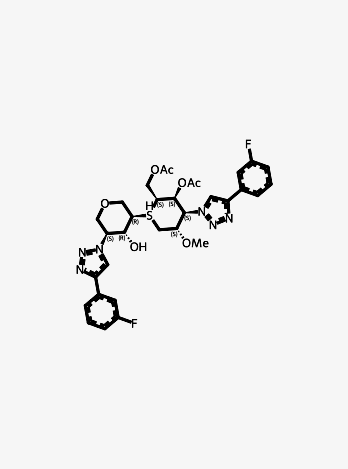 CO[C@@H]1C[SH]([C@@H]2COC[C@H](n3cc(-c4cccc(F)c4)nn3)[C@H]2O)[C@@H](COC(C)=O)[C@@H](OC(C)=O)[C@H]1n1cc(-c2cccc(F)c2)nn1